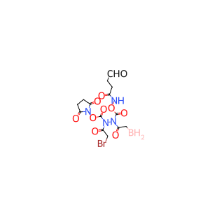 BCC(=O)N(C(=O)ONC(=O)CCC=O)N(C(=O)CBr)C(=O)ON1C(=O)CCC1=O